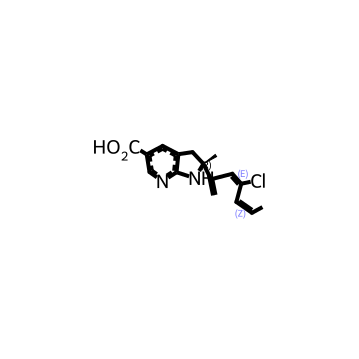 C=C(/C=C(Cl)\C=C/C)[C@@]1(C)Cc2cc(C(=O)O)cnc2N1